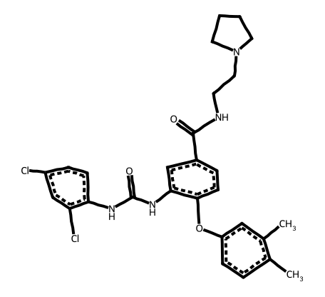 Cc1ccc(Oc2ccc(C(=O)NCCN3CCCC3)cc2NC(=O)Nc2ccc(Cl)cc2Cl)cc1C